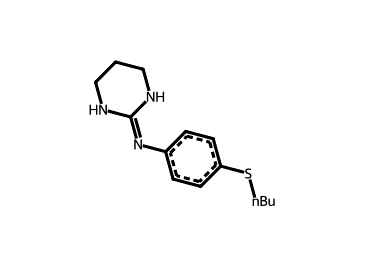 CCCCSc1ccc(N=C2NCCCN2)cc1